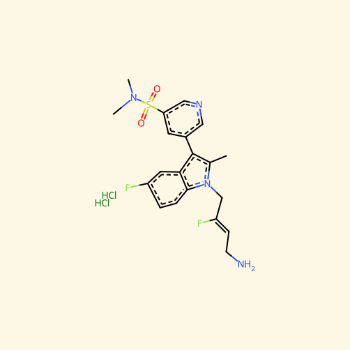 Cc1c(-c2cncc(S(=O)(=O)N(C)C)c2)c2cc(F)ccc2n1CC(F)=CCN.Cl.Cl